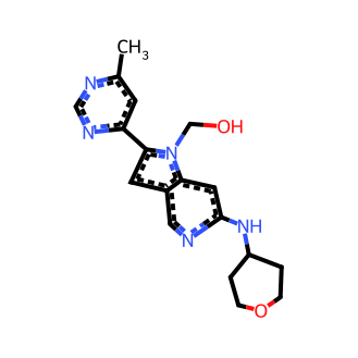 Cc1cc(-c2cc3cnc(NC4CCOCC4)cc3n2CO)ncn1